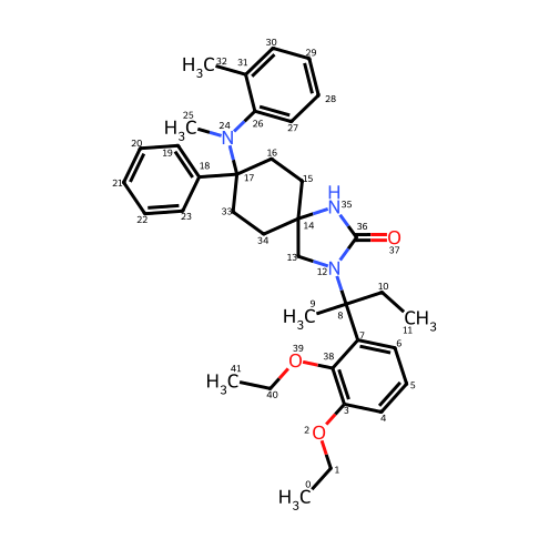 CCOc1cccc(C(C)(CC)N2CC3(CCC(c4ccccc4)(N(C)c4ccccc4C)CC3)NC2=O)c1OCC